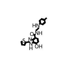 Cc1ccc(NCCNC(=O)c2ccc(O)c3[nH]c(-c4cccs4)nc23)cc1